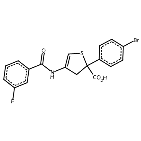 O=C(NC1=CSC(C(=O)O)(c2ccc(Br)cc2)C1)c1cccc(F)c1